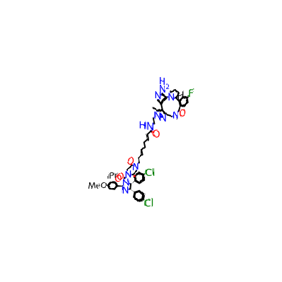 COc1ccc(C2=N[C@@H](c3ccc(Cl)cc3)[C@@H](c3ccc(Cl)cc3)N2C(=O)N2CCN(CCCCCCCCC(=O)NCCn3nc4c(c3C)-c3cnc(N)c(c3)N3CCC[C@@H]3c3cc(F)ccc3C(=O)N(C)C4)C(=O)C2)c(OC(C)C)c1